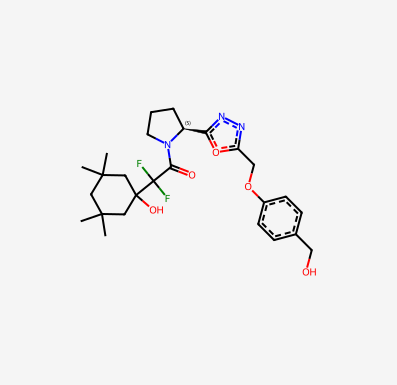 CC1(C)CC(C)(C)CC(O)(C(F)(F)C(=O)N2CCC[C@H]2c2nnc(COc3ccc(CO)cc3)o2)C1